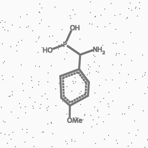 COc1ccc(C(N)P(O)O)cc1